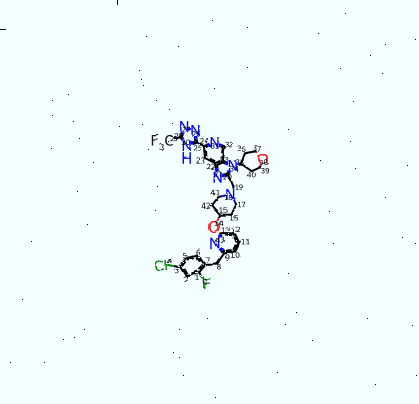 Fc1cc(Cl)ccc1Cc1cccc(OC2CCN(Cc3nc4cc(-c5nnc(C(F)(F)F)[nH]5)ncc4n3C3CCOCC3)CC2)n1